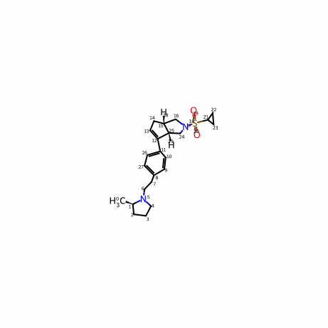 C[C@@H]1CCCN1CCc1ccc(C2=CC[C@@H]3CN(S(=O)(=O)C4CC4)C[C@H]23)cc1